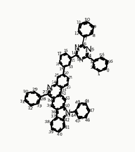 c1ccc(-c2nc(-c3ccccc3)nc(-c3cccc(-c4ccc5c(c4)nc(-c4ccccc4)c4cc6c7ccccc7n(-c7ccccc7)c6cc45)c3)n2)cc1